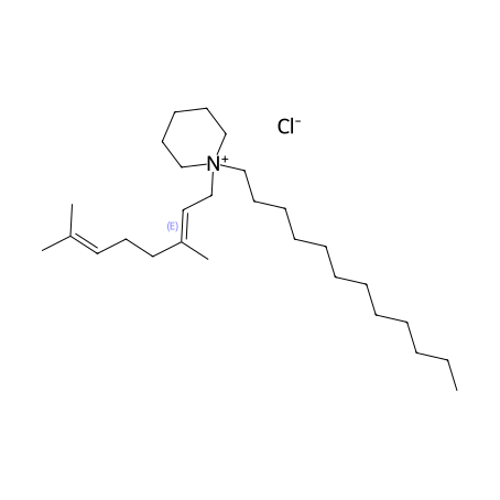 CCCCCCCCCCCC[N+]1(C/C=C(\C)CCC=C(C)C)CCCCC1.[Cl-]